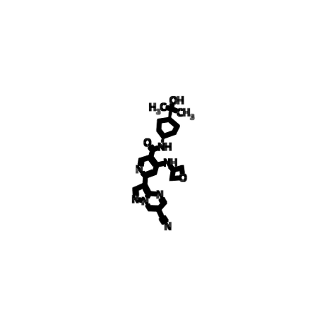 CC(C)(O)[C@H]1CC[C@H](NC(=O)c2cnc(-c3cnn4cc(C#N)cnc34)cc2NC2COC2)CC1